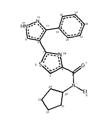 CCN(C(=O)c1csc(-c2c[nH]nc2-c2ccccc2)n1)C1CCCC1